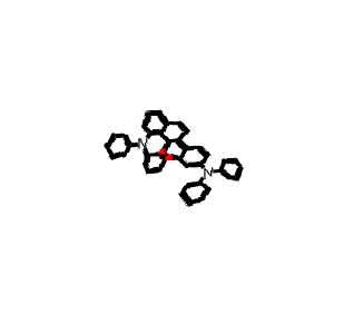 c1ccc(N(c2ccccc2)c2ccc3c(ccc4c3ccc3cccc(N(c5ccccc5)c5ccccc5)c34)c2)cc1